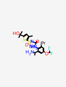 Cc1cc(C(C)(C)O)sc1S(N)(=O)=NC(=O)Nc1c(C(C)C)cc(OC(F)F)cc1C(C)N